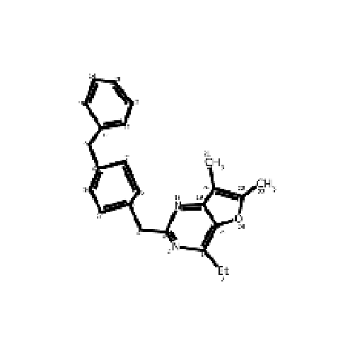 CCc1nc(Cc2ccc(Cc3ccccc3)cc2)nc2c(C)c(C)oc12